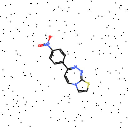 O=[N+]([O-])c1ccc(C2=NN=C3SC=CN3C=C2)cc1